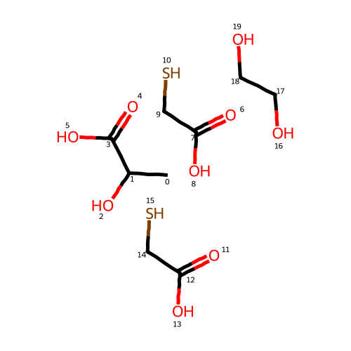 CC(O)C(=O)O.O=C(O)CS.O=C(O)CS.OCCO